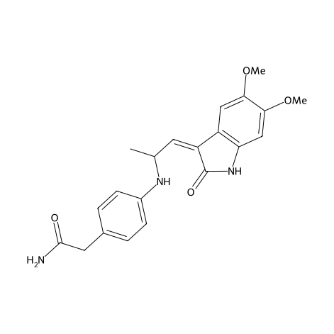 COc1cc2c(cc1OC)C(=CC(C)Nc1ccc(CC(N)=O)cc1)C(=O)N2